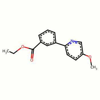 CCOC(=O)c1cccc(-c2ccc(OC)cn2)c1